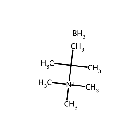 B.CC(C)(C)[N+](C)(C)C